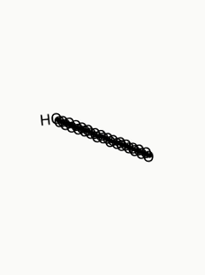 COOOOOOOOOOOOOOOOOOOOOOOOOOOOOO